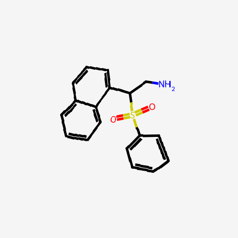 NCC(c1cccc2ccccc12)S(=O)(=O)c1ccccc1